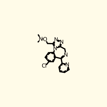 CN(C)OCc1nnc2n1-c1ccc(Cl)cc1C(c1ccccn1)=NC2